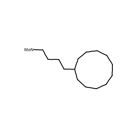 CNCCCCC1CCCCCCCCCC1